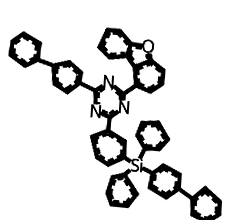 c1ccc(-c2ccc(-c3nc(-c4cccc([Si](c5ccccc5)(c5ccccc5)c5ccc(-c6ccccc6)cc5)c4)nc(-c4cccc5oc6ccccc6c45)n3)cc2)cc1